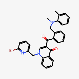 Cc1ccccc1N(C)Cc1ccccc1C(=O)c1cn(Cc2cccc(Br)n2)c2ccccc2c1=O